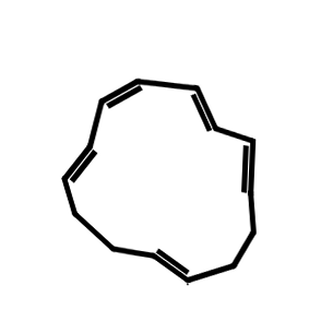 [C]1=C/CC/C=C/C=C\C=C\C=C\CC/1